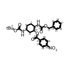 CC(C)(C)OC(=O)N[C@@H]1CC[C@@H](NC(=O)OCc2ccccc2)[C@@H](OC(=O)c2ccc([N+](=O)[O-])cc2)C1